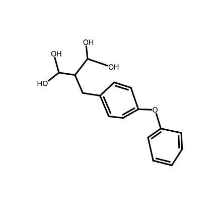 OC(O)C(Cc1ccc(Oc2ccccc2)cc1)C(O)O